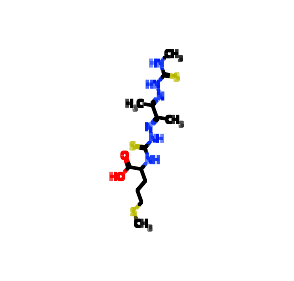 CNC(=S)N/N=C(C)/C(C)=N/NC(=S)NC(CCCSC)C(=O)O